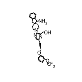 N[C@@H]1c2ccccc2CC12CCN(c1ncc(C#CCOc3cccc(OC(F)(F)F)c3)nc1CO)CC2